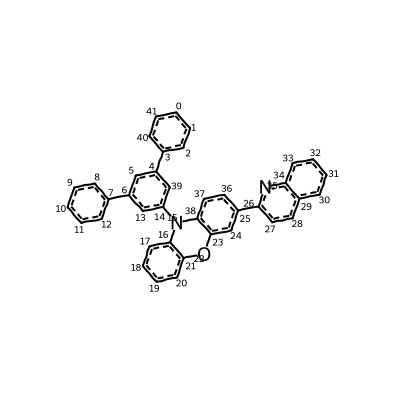 c1ccc(-c2cc(-c3ccccc3)cc(N3c4ccccc4Oc4cc(-c5ccc6ccccc6n5)ccc43)c2)cc1